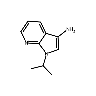 CC(C)n1cc(N)c2cccnc21